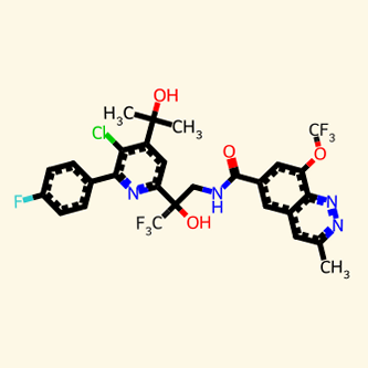 Cc1cc2cc(C(=O)NCC(O)(c3cc(C(C)(C)O)c(Cl)c(-c4ccc(F)cc4)n3)C(F)(F)F)cc(OC(F)(F)F)c2nn1